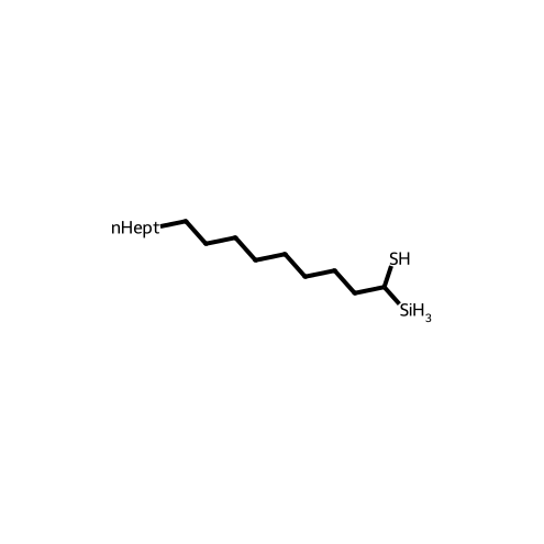 CCCCCCCCCCCCCCCC([SiH3])S